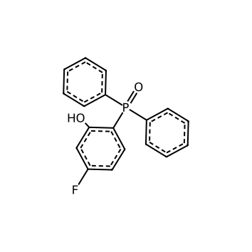 O=P(c1ccccc1)(c1ccccc1)c1ccc(F)cc1O